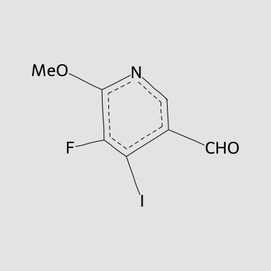 COc1ncc(C=O)c(I)c1F